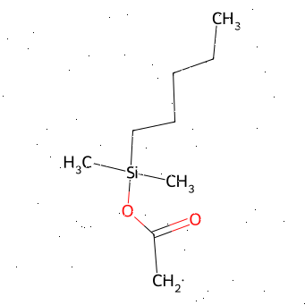 [CH2]C(=O)O[Si](C)(C)CCCCC